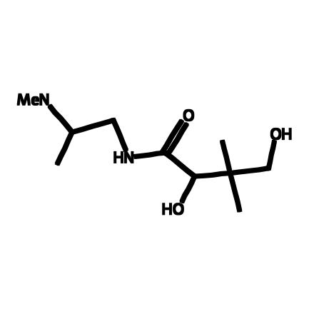 CNC(C)CNC(=O)C(O)C(C)(C)CO